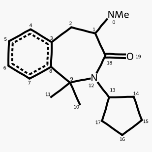 CNC1Cc2ccccc2C(C)(C)N(C2CCCC2)C1=O